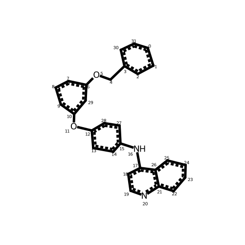 c1ccc(COc2cccc(Oc3ccc(Nc4ccnc5ccccc45)cc3)c2)cc1